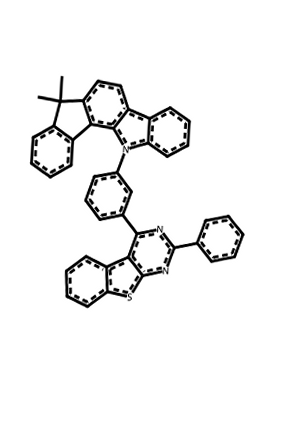 CC1(C)c2ccccc2-c2c1ccc1c3ccccc3n(-c3cccc(-c4nc(-c5ccccc5)nc5sc6ccccc6c45)c3)c21